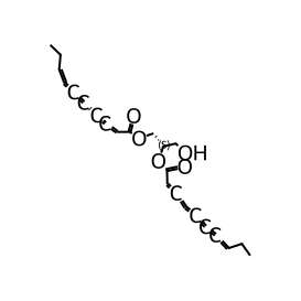 CCC=C=C=C=C=C=CC(=O)OC[C@H](CO)OC(=O)C=C=C=C=C=C=CCC